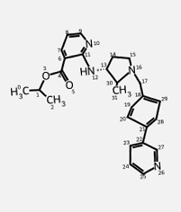 CC(C)OC(=O)c1cccnc1N[C@@H]1CCN(Cc2ccc(-c3cccnc3)cc2)C1C